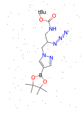 CC(C)(C)OC(=O)NCC(Cn1cc(B2OC(C)(C)C(C)(C)O2)cn1)N=[N+]=[N-]